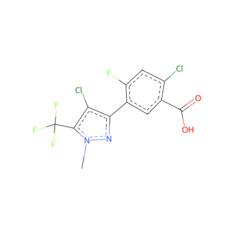 Cn1nc(-c2cc(C(=O)O)c(Cl)cc2F)c(Cl)c1C(F)(F)F